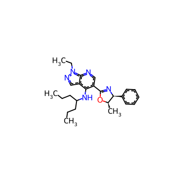 CCCC(CCC)Nc1c(C2=N[C@@H](c3ccccc3)[C@@H](C)O2)cnc2c1cnn2CC